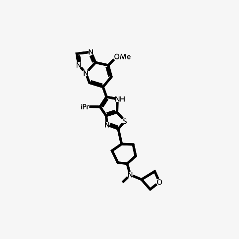 COc1cc(-c2[nH]c3sc(C4CCC(N(C)C5COC5)CC4)nc3c2C(C)C)cn2ncnc12